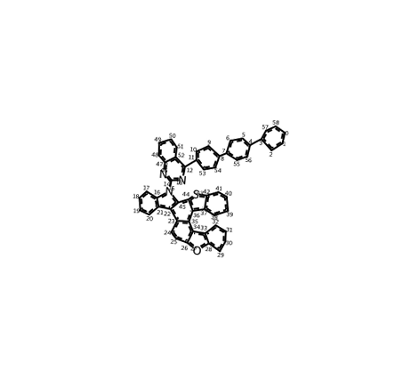 c1ccc(-c2ccc(-c3ccc(-c4nc(-n5c6ccccc6c6c7ccc8oc9ccccc9c8c7c7c8ccccc8sc7c65)nc5ccccc45)cc3)cc2)cc1